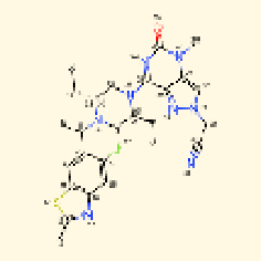 CC[C@H]1CN(C(C)c2cc3sc(C)nc3cc2F)[C@H](CC)CN1c1nc(=O)n(C)c2cn(CC#N)nc12